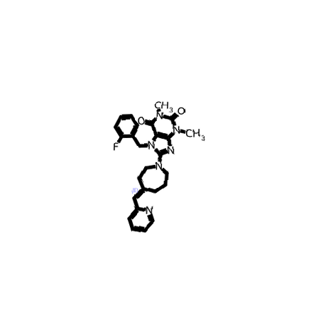 Cn1c(=O)c2c(nc(N3CCC/C(=C\c4ccccn4)CC3)n2Cc2ccccc2F)n(C)c1=O